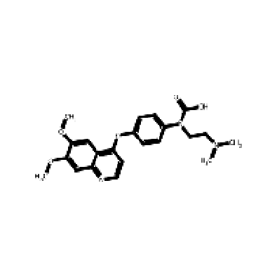 COc1cc2nccc(Oc3ccc(N(CCN(C)C)C(=O)O)cc3)c2cc1OC